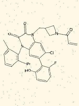 C=CC(=O)N1CC(Cn2c(=O)c(=O)n(-c3c(C)cccc3C(C)C)c3cc(-c4c(O)cccc4F)c(Cl)cc32)C1